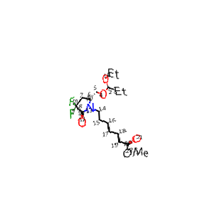 CCOC(CC)OC[C@H]1CC(F)(F)C(=O)N1CCCCCCC(=O)OC